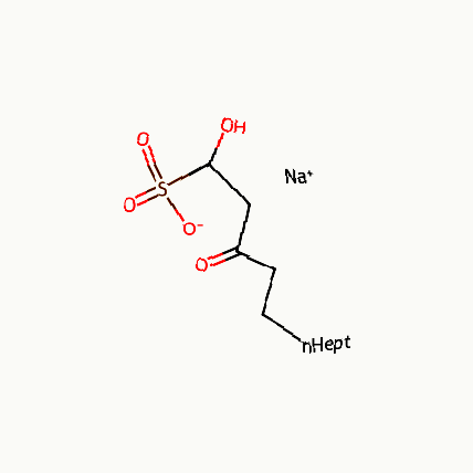 CCCCCCCCCC(=O)CC(O)S(=O)(=O)[O-].[Na+]